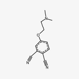 CN(C)CCOc1ccc(C#N)c(C#N)c1